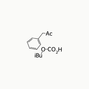 CC(=O)Cc1ccccc1.CCC(C)OC(=O)O